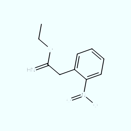 CCOC(=N)Cc1ccccc1[N+](=O)[O-]